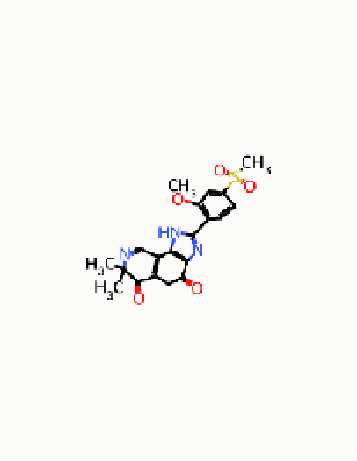 COc1cc(S(C)(=O)=O)ccc1-c1nc2c([nH]1)C1=C(CC2=O)C(=O)C(C)(C)N=C1